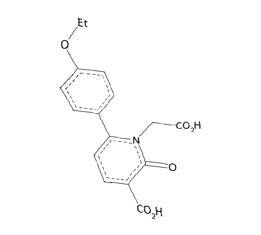 CCOc1ccc(-c2ccc(C(=O)O)c(=O)n2CC(=O)O)cc1